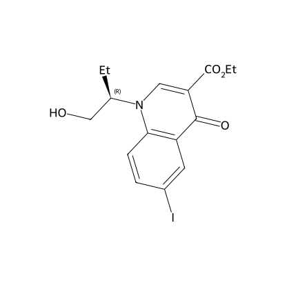 CCOC(=O)c1cn([C@H](CC)CO)c2ccc(I)cc2c1=O